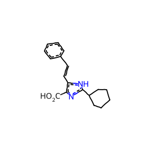 O=C(O)c1nc(C2CCCCC2)[nH]c1C=Cc1ccccc1